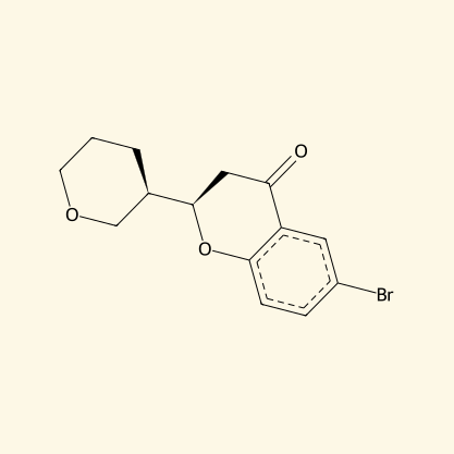 O=C1C[C@H]([C@@H]2CCCOC2)Oc2ccc(Br)cc21